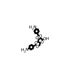 Nc1ccc(C2OCC3OC(O)C4OC(c5ccc(N)cc5)OC4C3O2)cc1